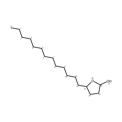 CCCCCCCCCCCCCC1CCC(O)O1